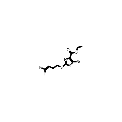 CCOC(=O)c1nc(SCCC=C(F)F)sc1Br